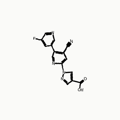 N#Cc1cc(-n2cc(C(=O)O)cn2)ncc1-c1cncc(F)c1